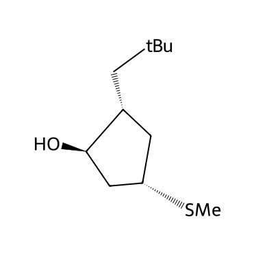 CS[C@H]1C[C@@H](CC(C)(C)C)[C@H](O)C1